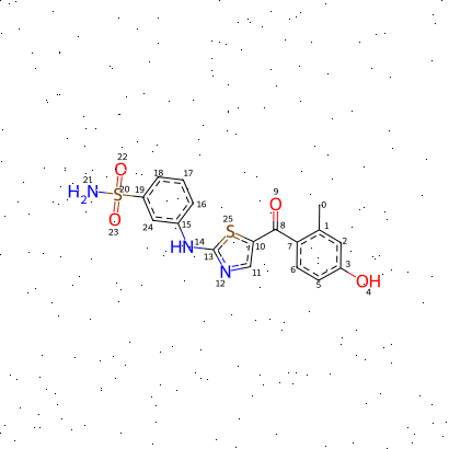 Cc1cc(O)ccc1C(=O)c1cnc(Nc2cccc(S(N)(=O)=O)c2)s1